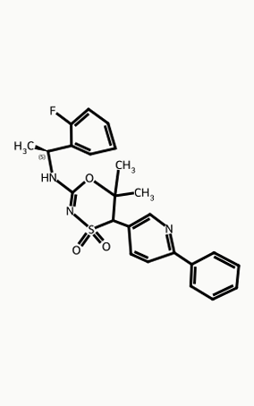 C[C@H](NC1=NS(=O)(=O)C(c2ccc(-c3ccccc3)nc2)C(C)(C)O1)c1ccccc1F